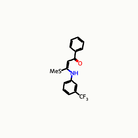 CS/C(=C/C(=O)c1ccccc1)Nc1cccc(C(F)(F)F)c1